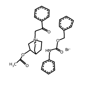 CC(=O)OC1C[N+]2(CC(=O)c3ccccc3)CCC1CC2.O=C(Nc1ccccc1)OCc1ccccc1.[Br-]